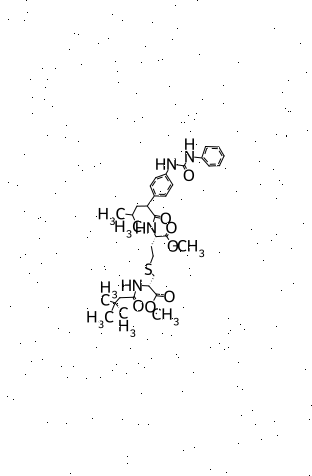 COC(=O)[C@H](CCSC[C@@H](NC(=O)CC(C)(C)C)C(=O)OC)NC(=O)C(CC(C)C)c1ccc(NC(=O)Nc2ccccc2)cc1